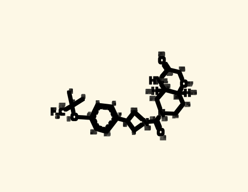 CC(C)(Oc1ccc(C2CN(C(=O)N3CC[C@@H]4OCC(=O)N[C@@H]4C3)C2)cc1)C(F)(F)F